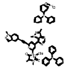 Cc1nn(C)c2c(-c3cc(C#Cc4ccc5c(cnn5C)c4)nc(NC(=O)C(C)N(C)C(=O)OC(C)(C)C)c3)ncnc12.[Cl][Pd][Cl].c1ccc(P(c2ccccc2)c2ccccc2)cc1.c1ccc(P(c2ccccc2)c2ccccc2)cc1